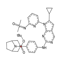 CC(C)(C)OC(=O)N1C2CCC1CN(c1ccc(Nc3ncc4cc(C5CC5)n(-c5cccc(N=S(C)(C)=O)n5)c4n3)cc1)C2